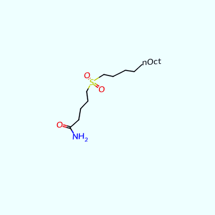 CCCCCCCCCCCCS(=O)(=O)CCCCC(N)=O